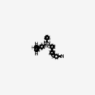 N#Cc1ccc2sc3ccc(-c4cccc(-c5nc(-c6ccccc6)nc(-c6ccc(C78C[C@H]9C[C@@H](C7)C[C@@H](C8)C9)cc6)n5)c4)cc3c2c1